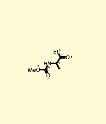 CCC(=O)C(C)NC(=O)OC